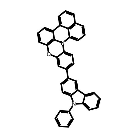 c1ccc(-n2c3ccccc3c3cc(-c4ccc5c(c4)oc4cccc6c4-n5c4cccc5cccc6c54)ccc32)cc1